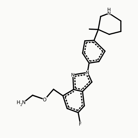 CC1(c2ccc(-n3cc4cc(F)cc(COCN)c4n3)cc2)CCCNC1